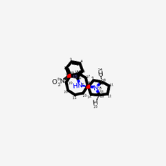 O=[N+]([O-])c1ccccc1N[C@H]1C[C@H]2CC[C@@H](C1)N2C1C/C=C\CCCC1